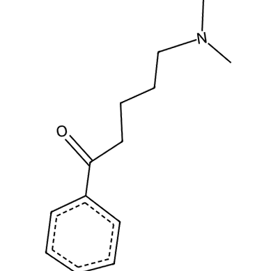 CN(C)CCCCC(=O)c1ccccc1